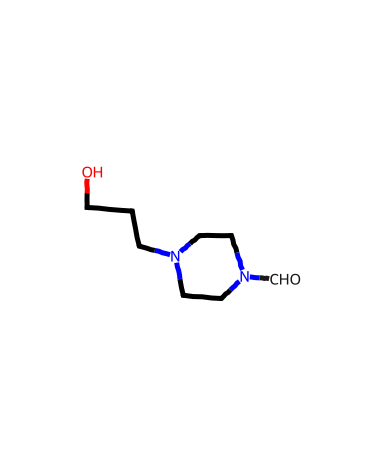 O=CN1CCN(CCCO)CC1